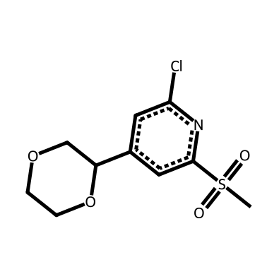 CS(=O)(=O)c1cc(C2COCCO2)cc(Cl)n1